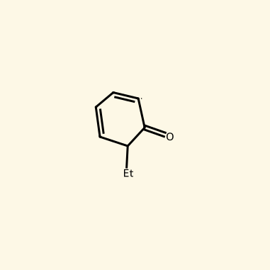 CCC1C=CC=[C]C1=O